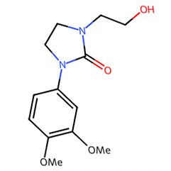 COc1ccc(N2CCN(CCO)C2=O)cc1OC